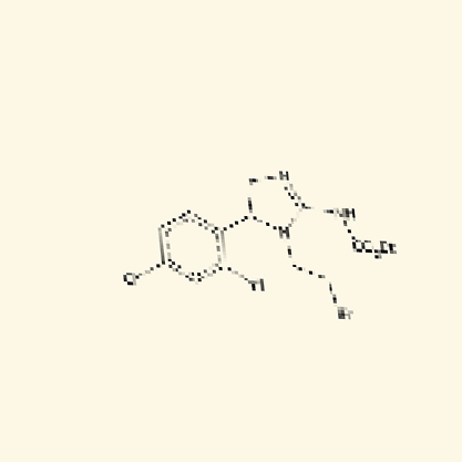 CCOC(=O)NC1=NCC(c2ccc(Cl)cc2Cl)N1CCC(C)C